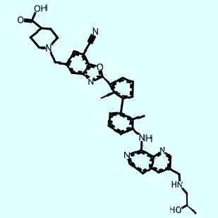 Cc1c(Nc2nccc3cc(CNC[C@@H](C)O)cnc23)cccc1-c1cccc(-c2nc3cc(CN4CCC(C(=O)O)CC4)cc(C#N)c3o2)c1C